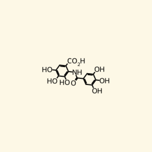 O=C(Nc1c(C(=O)O)cc(O)c(O)c1O)c1cc(O)c(O)c(O)c1